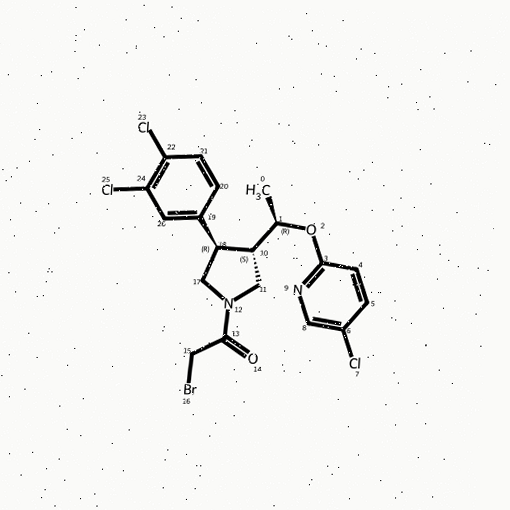 C[C@@H](Oc1ccc(Cl)cn1)[C@@H]1CN(C(=O)CBr)C[C@H]1c1ccc(Cl)c(Cl)c1